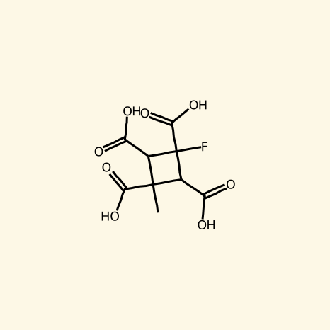 CC1(C(=O)O)C(C(=O)O)C(F)(C(=O)O)C1C(=O)O